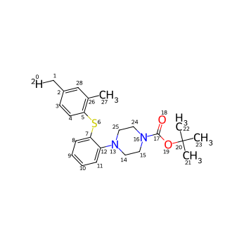 [2H]Cc1ccc(Sc2ccccc2N2CCN(C(=O)OC(C)(C)C)CC2)c(C)c1